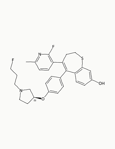 Cc1ccc(C2=C(c3ccc(O[C@H]4CCN(CCCF)C4)cc3)c3ccc(O)cc3SCC2)c(F)n1